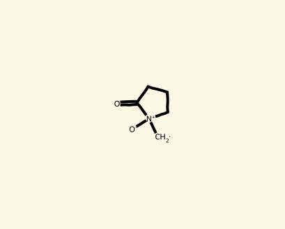 [CH2][N+]1([O-])CCCC1=O